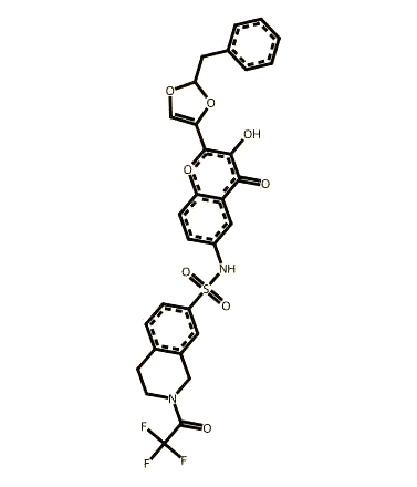 O=C(N1CCc2ccc(S(=O)(=O)Nc3ccc4oc(C5=COC(Cc6ccccc6)O5)c(O)c(=O)c4c3)cc2C1)C(F)(F)F